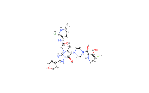 CCc1c(N2CCN(C(=O)c3nccc(F)c3O)CC2)c(=O)n2nc(C3=CCOCC3)nc2n1CC(=O)Nc1ccc(C(F)(F)F)nc1Cl